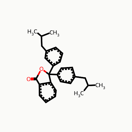 CC(C)Cc1ccc(C2(c3cccc(CC(C)C)c3)OC(=O)c3ccccc32)cc1